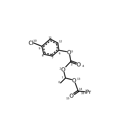 CC(OC(=O)Oc1ccc(Cl)cc1)OC(=O)C(C)C